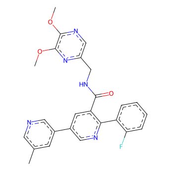 COc1ncc(CNC(=O)c2cc(-c3cncc(C)c3)cnc2-c2ccccc2F)nc1OC